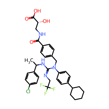 CC(N/C(=N/CC(F)(F)F)N(Cc1ccc(C(=O)NC[C@@H](O)C(=O)O)cc1)c1ccc(C2CCCCC2)cc1)c1ccc(Cl)cc1